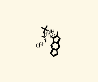 CC1=[C]([Ti+2]([NH]C(C)(C)C)[SiH](C)C)c2cc3c(cc2=C1)C=CC=3.[Cl-].[Cl-]